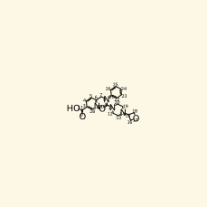 O=C(O)c1ccc(CN(C(=O)N2CCN(C3COC3)CC2)c2ccccc2)nc1